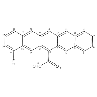 O=CC(=O)c1c2cc3ccccc3cc2cc2cc3cccc(F)c3cc12